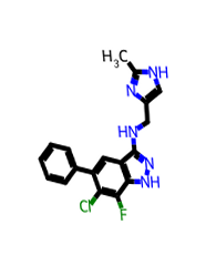 Cc1nc(CNc2n[nH]c3c(F)c(Cl)c(-c4ccccc4)cc23)c[nH]1